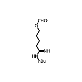 CCCCNC(=N)CCCCO[C]=O